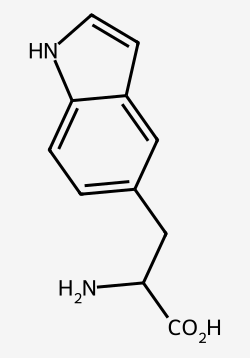 NC(Cc1ccc2[nH]ccc2c1)C(=O)O